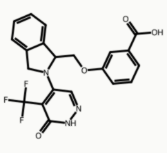 O=C(O)c1cccc(OCC2c3ccccc3CN2c2cn[nH]c(=O)c2C(F)(F)F)c1